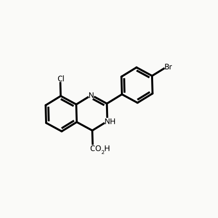 O=C(O)C1NC(c2ccc(Br)cc2)=Nc2c(Cl)cccc21